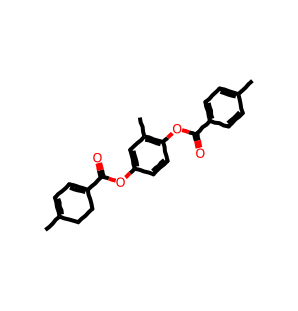 CC1=CC=C(C(=O)Oc2ccc(OC(=O)c3ccc(C)cc3)c(C)c2)CC1